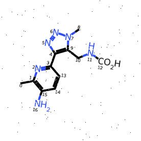 Cc1nc(-c2nnn(C)c2CNC(=O)O)ccc1N